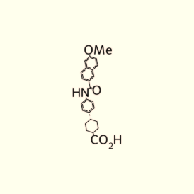 COc1ccc2cc(C(=O)Nc3ccc([C@H]4CC[C@H](C(=O)O)CC4)cc3)ccc2c1